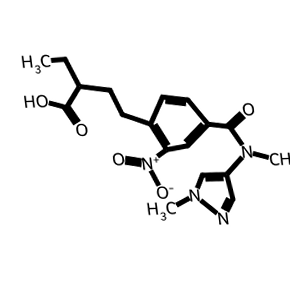 CCC(CCc1ccc(C(=O)N(C)c2cnn(C)c2)cc1[N+](=O)[O-])C(=O)O